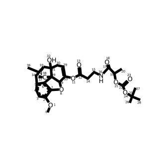 COc1ccc2c3c1OC1C(OC(=O)CCNC(=O)C(C)OC(=O)OC(C)(C)C)=CCC4(O)C(C2)N(C)CCC314